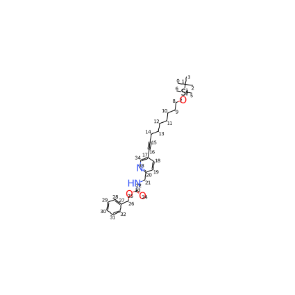 CC(C)(C)[Si](C)(C)OCCCCCCCC#Cc1ccc(CNC(=O)OCc2ccccc2)nc1